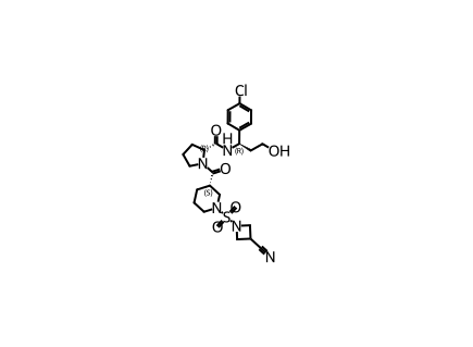 N#CC1CN(S(=O)(=O)N2CCC[C@H](C(=O)N3CCC[C@@H]3C(=O)N[C@H](CCO)c3ccc(Cl)cc3)C2)C1